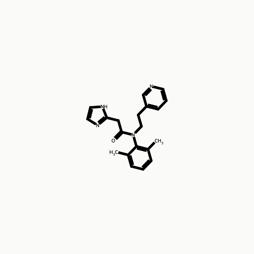 Cc1cccc(C)c1N(CCc1cccnc1)C(=O)Cc1ncc[nH]1